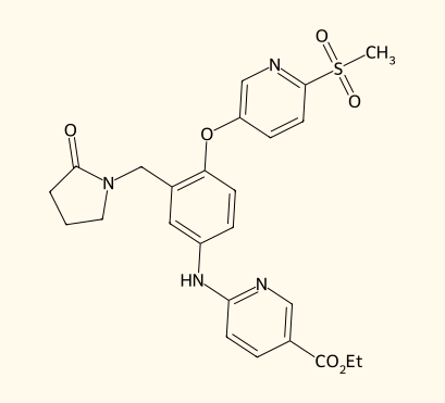 CCOC(=O)c1ccc(Nc2ccc(Oc3ccc(S(C)(=O)=O)nc3)c(CN3CCCC3=O)c2)nc1